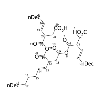 CCCCCCCCCCC=CC(CC(=O)O)C(=O)OC(=O)CC(C=CCCCCCCCCCCCCC)C(=O)OC(=O)C(C=CCCCCCCCCCC)CC(=O)O